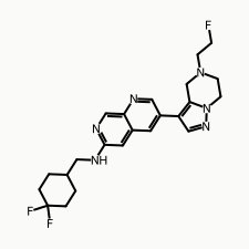 FCCN1CCn2ncc(-c3cnc4cnc(NCC5CCC(F)(F)CC5)cc4c3)c2C1